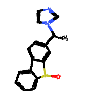 CC(c1ccc2c3ccccc3[s+]([O-])c2c1)n1ccnc1